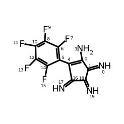 N=c1c(N)c(-c2c(F)c(F)c(F)c(F)c2F)c(=N)c1=N